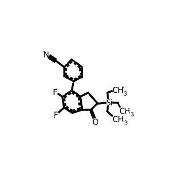 CC[Si](CC)(CC)C1Cc2c(cc(F)c(F)c2-c2cccc(C#N)c2)C1=O